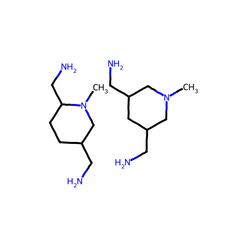 CN1CC(CN)CC(CN)C1.CN1CC(CN)CCC1CN